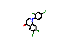 O=c1ccn(-c2ccc(F)cc2F)c2cc(F)c(F)cc12